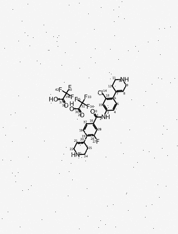 O=C(Nc1ccc(C2=CCNCC2)c(Cl)c1)c1ccc(C2=CCNCC2)c(F)c1.O=C(O)C(F)(F)F.O=C(O)C(F)(F)F